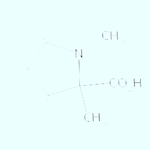 CN1CCCC1(C)C(=O)O